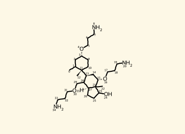 CC1C[C@H](OCCCN)CC[C@]1(C)[C@H]1C[C@H](OCCCN)C2(C)C(O)CC[C@H]2C1COCCCN